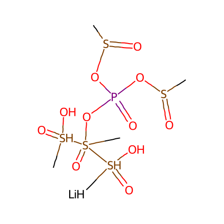 CS(=O)OP(=O)(OS(C)=O)OS(C)(=O)([SH](C)(=O)O)[SH](C)(=O)O.[LiH]